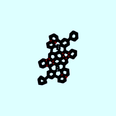 c1ccc(-c2cc(-c3ccccc3)c(B3c4ccccc4-c4cc(-c5ccccc5)c5cc6c7c(cc(-c8ccccc8)c8cc3c4c5c87)-c3ccccc3B6c3c(-c4ccccc4)cc(-c4ccccc4)cc3-c3ccccc3)c(-c3ccccc3)c2)cc1